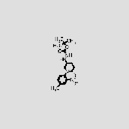 Cc1ccc(N2CCCC(NNC(=O)OC(C)(C)C)C2)c([N+](=O)[O-])c1